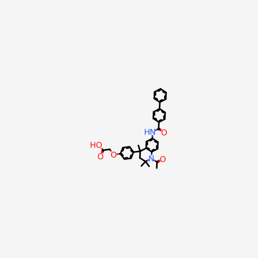 CC(=O)N1c2ccc(NC(=O)c3ccc(-c4ccccc4)cc3)cc2C(C)(c2ccc(OCC(=O)O)cc2)CC1(C)C